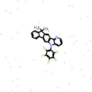 CC1(C)c2ccccc2-c2cc3c(cc21)c1ncccc1n3-c1c(F)c(F)c(F)c(F)c1F